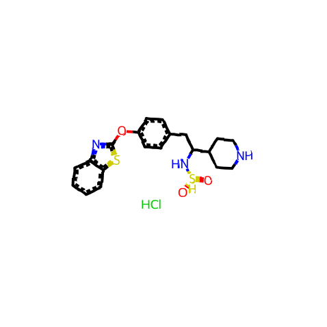 Cl.O=[SH](=O)NC(Cc1ccc(Oc2nc3ccccc3s2)cc1)C1CCNCC1